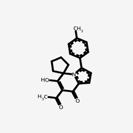 CC(=O)C1=C(O)C2(CCCC2)n2c(ccc2-c2ccc(C)cc2)C1=O